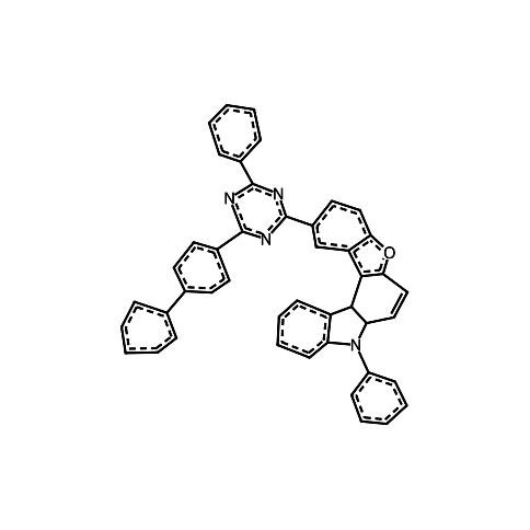 C1=CC2C(c3ccccc3N2c2ccccc2)c2c1oc1ccc(-c3nc(-c4ccccc4)nc(-c4ccc(-c5ccccc5)cc4)n3)cc21